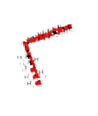 CC[P+](CC)(CC)CC.CC[P+](CC)(CC)CC.CC[P+](CC)(CC)CC.CC[P+](CC)(CC)CC.CC[P+](CC)(CC)CC.CC[P+](CC)(CC)CC.CC[P+](CC)(CC)CC.CC[P+](CC)(CC)CC.CC[P+](CC)(CC)CC.CC[P+](CC)(CC)CC.CC[P+](CC)(CC)CC.CC[P+](CC)(CC)CC.[O-]B([O-])F.[O-]B([O-])F.[O-]B([O-])F.[O-]B([O-])F.[O-]B([O-])F.[O-]B([O-])F